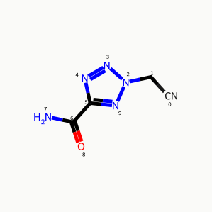 N#CCn1nnc(C(N)=O)n1